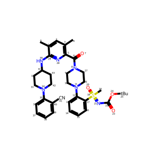 Cc1cc(C)c(C(=O)N2CCN(c3ccccc3S(C)(=O)=NC(=O)OC(C)(C)C)CC2)nc1NC1CCN(c2ccccc2C#N)CC1